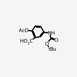 CC(=O)Oc1ccc(NC(=O)OC(C)(C)C)cc1C(=O)O